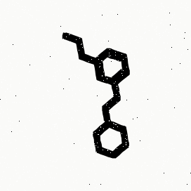 CCCc1cccc(CCC2CCCCC2)c1